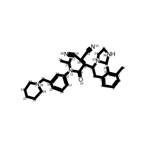 Cc1cccc(CC(C(C(=O)N(c2cccc(CN3CCCCC3)c2)C(C)C)=C(C#N)C#N)N2CCNC2)c1C